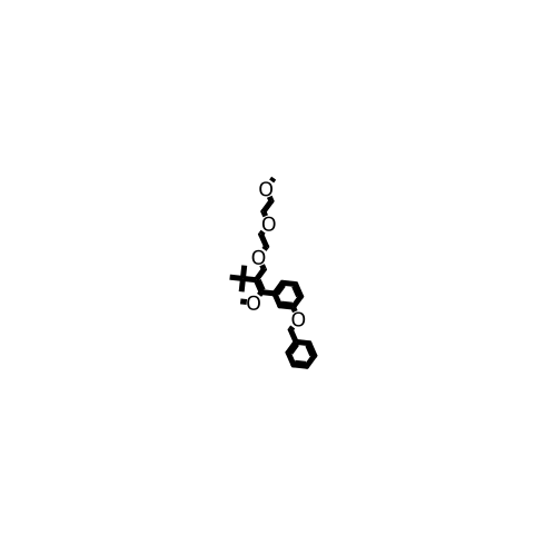 COCCOCCOCC(=C(OC)c1cccc(OCc2ccccc2)c1)C(C)(C)C